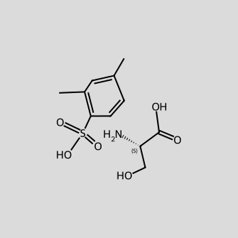 Cc1ccc(S(=O)(=O)O)c(C)c1.N[C@@H](CO)C(=O)O